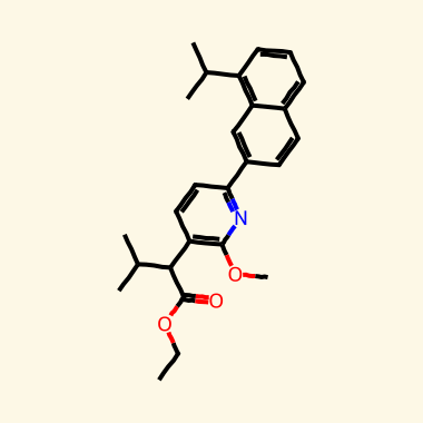 CCOC(=O)C(c1ccc(-c2ccc3cccc(C(C)C)c3c2)nc1OC)C(C)C